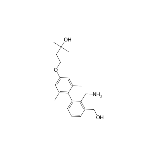 Cc1cc(OCCC(C)(C)O)cc(C)c1-c1cccc(CO)c1CN